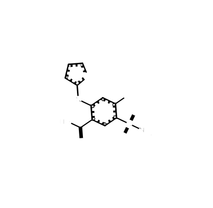 NS(=O)(=O)c1cc(C(=O)O)c(Nc2ccco2)cc1Cl